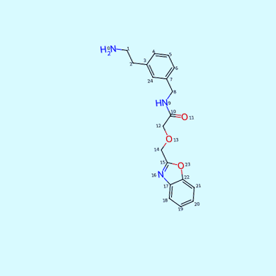 NCCc1cccc(CNC(=O)COCc2nc3ccccc3o2)c1